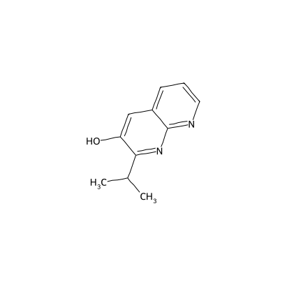 CC(C)c1nc2ncccc2cc1O